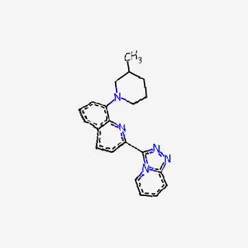 CC1CCCN(c2cccc3ccc(-c4nnc5ccccn45)nc23)C1